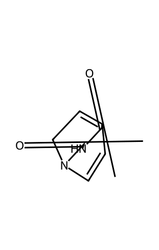 O=C1NC(=O)N2C=CC1=CC2